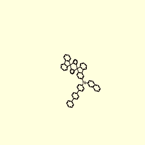 c1ccc(-c2ccc(-c3ccc(N(c4ccc5c(c4)-c4ccccc4C54c5ccccc5C5(c6ccccc6-c6ccccc65)c5ccccc54)c4ccc5ccccc5c4)cc3)cc2)cc1